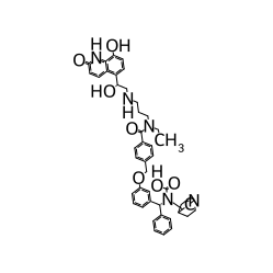 CCN(CCCNC[C@H](O)c1ccc(O)c2[nH]c(=O)ccc12)C(=O)c1ccc(COc2cccc([C@@H](c3ccccc3)N(C(=O)O)C3CN4CCC3CC4)c2)cc1